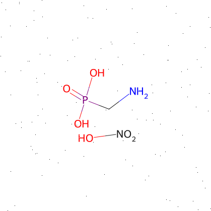 NCP(=O)(O)O.O=[N+]([O-])O